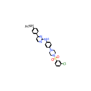 CC(=O)Nc1ccc(-c2ccnc(Nc3ccc(N4CCN(S(=O)(=O)c5cccc(Cl)c5)CC4)cc3)n2)cc1